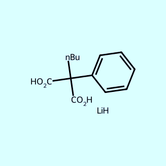 CCCCC(C(=O)O)(C(=O)O)c1ccccc1.[LiH]